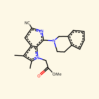 COC(=O)Cn1c(C)c(C)c2cc(C#N)nc(N3CCc4ccccc4C3)c21